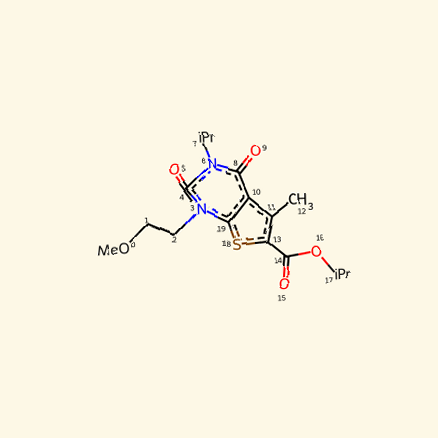 COCCn1c(=O)n(C(C)C)c(=O)c2c(C)c(C(=O)OC(C)C)sc21